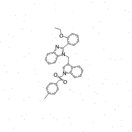 CCOc1ccccc1-c1nc2ccccc2n1Cc1cn(S(=O)(=O)c2ccc(C)cc2)c2ccccc12